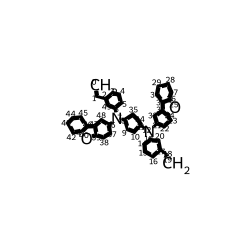 C=Cc1cccc(N(c2ccc(N(c3cccc(C=C)c3)c3ccc4oc5ccccc5c4c3)cc2)c2ccc3oc4ccccc4c3c2)c1